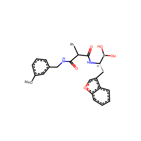 COc1cccc(CNC(=O)C(C(=O)N[C@@H](Cc2coc3ccccc23)B(O)O)C(C)C)c1